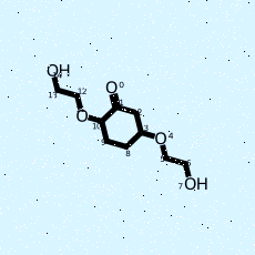 O=C1CC(OCCO)CCC1OCCO